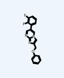 Fc1cccc(-c2cnc3nc(COc4ccccc4)cn3c2)c1F